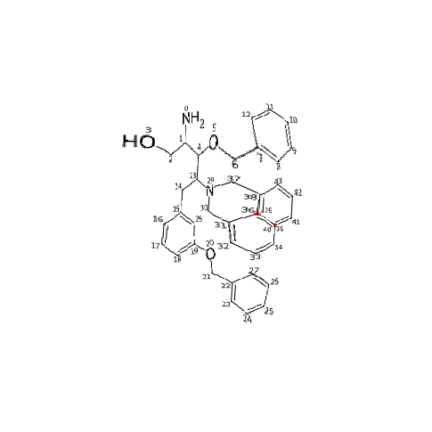 NC(CO)C(OCc1ccccc1)C(Cc1cccc(OCc2ccccc2)c1)N(Cc1ccccc1)Cc1ccccc1